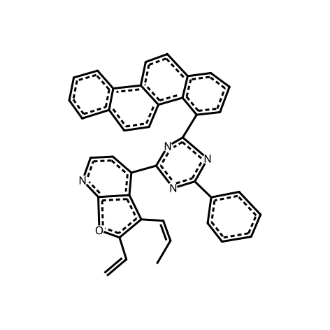 C=Cc1oc2nccc(-c3nc(-c4ccccc4)nc(-c4cccc5ccc6c7ccccc7ccc6c45)n3)c2c1/C=C\C